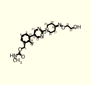 CNC(=O)OCc1cccc(-c2cnc(N3CCC(=NOCCO)CC3)nc2)c1F